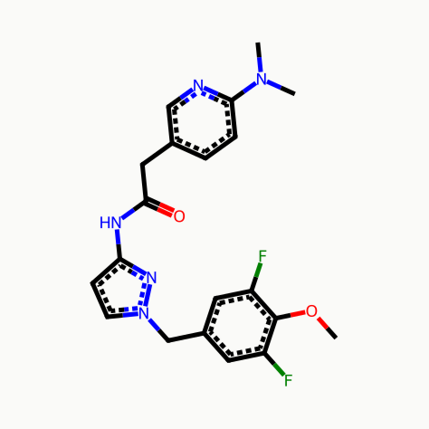 COc1c(F)cc(Cn2ccc(NC(=O)Cc3ccc(N(C)C)nc3)n2)cc1F